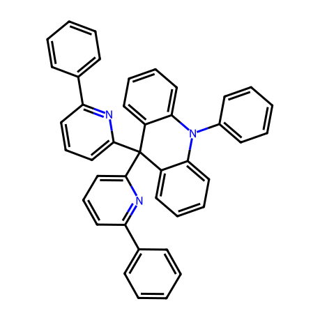 c1ccc(-c2cccc(C3(c4cccc(-c5ccccc5)n4)c4ccccc4N(c4ccccc4)c4ccccc43)n2)cc1